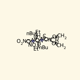 C=CC(=O)OCCN(CCOC(=O)C=C)C1C=CC(/N=N/C2CC(OCC(CC)CCCC)=C(/N=N/C3C=CC([N+](=O)[O-])CC3[N+](=O)[O-])C=C2OCC(CC)CCCC)=C(C)C1